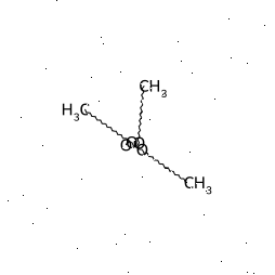 CCCCCCCCC=CCCCCCCCCOCC(COC(=O)CCCCCCCCCCCCCCCCC)OCCCCCCCCC=CCCCCCCCC